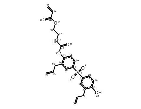 C=CCc1cc(S(=O)(=O)c2ccc(OC(=O)NCCOC(=O)C=C)c(CC=C)c2)ccc1O